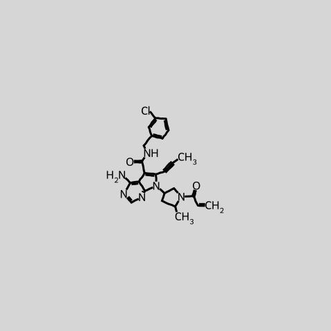 C=CC(=O)N1CC(n2c(C#CC)c(C(=O)NCc3cccc(Cl)c3)c3c(N)ncnc32)CC1C